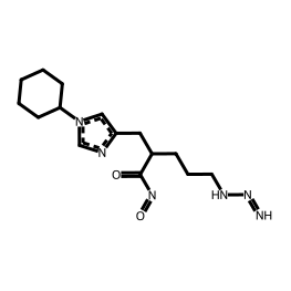 N=NNCCCC(Cc1cn(C2CCCCC2)cn1)C(=O)N=O